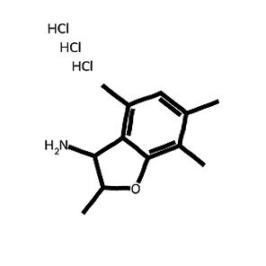 Cc1cc(C)c2c(c1C)OC(C)C2N.Cl.Cl.Cl